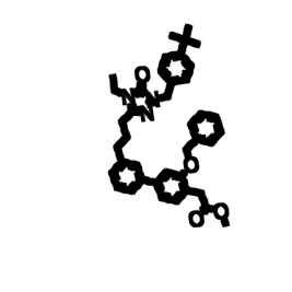 CCn1c(CCCc2cccc(-c3ccc(CC(=O)OC)c(OCc4ccccc4)c3)c2)nn(Cc2ccc(C(C)(C)C)cc2)c1=O